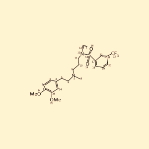 COc1ccc(CCN(C)CCCN(C(C)C)S(=O)(=O)c2cccc(C(F)(F)F)c2)cc1OC